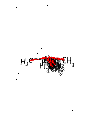 CCCCCCCCC=CCCCCCCCCN(CCCCCCCCC=CCCCCCCCC)C(=O)CCN(CC(N)C(=O)OC(C)(C)C)C(N)=NCC(N)C(=O)OC(C)(C)C